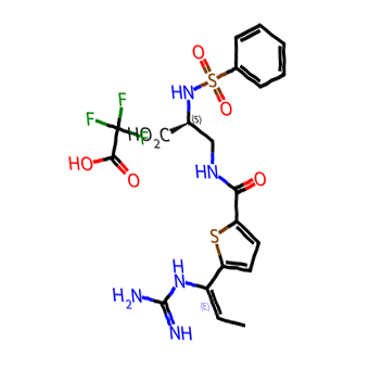 C/C=C(/NC(=N)N)c1ccc(C(=O)NC[C@H](NS(=O)(=O)c2ccccc2)C(=O)O)s1.O=C(O)C(F)(F)F